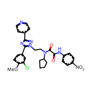 COc1ccc(-c2nc(-c3ccncc3)nn2CCN(C(=O)C(=O)Nc2ccc([N+](=O)[O-])cc2)C2CCCC2)cc1Cl